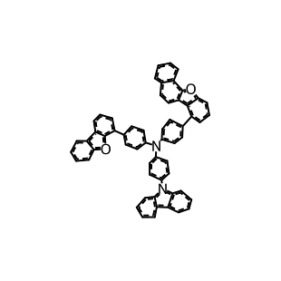 c1ccc2c(c1)ccc1c2oc2cccc(-c3ccc(N(c4ccc(-c5cccc6c5oc5ccccc56)cc4)c4ccc(-n5c6ccccc6c6ccccc65)cc4)cc3)c21